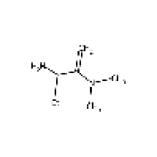 C=C(C(N)CC)N(C)C